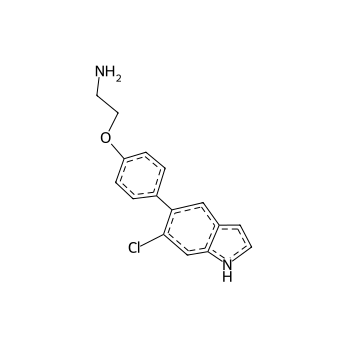 NCCOc1ccc(-c2cc3cc[nH]c3cc2Cl)cc1